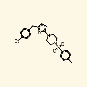 CCc1ccc(Cc2csc(N3CCN(S(=O)(=O)c4ccc(C)cc4)CC3)n2)cc1